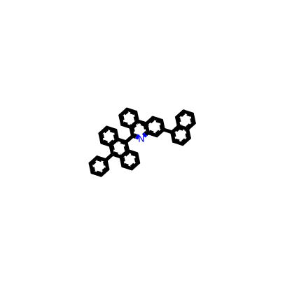 c1ccc(-c2c3ccccc3c(-c3nc4cc(-c5cccc6ccccc56)ccc4c4ccccc34)c3ccccc23)cc1